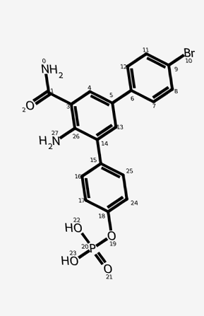 NC(=O)c1cc(-c2ccc(Br)cc2)cc(-c2ccc(OP(=O)(O)O)cc2)c1N